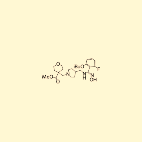 COC(=O)C1(CN2CCC(CN/C(=N\O)c3c(F)cccc3OCC(C)C)CC2)CCOCC1